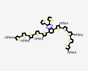 CCCCCCc1csc(-c2ccc(-c3sc(-c4ccc(-c5sc(-c6ccc(-c7cc(CCCCCC)c(-c8ccc(-c9cc(CCCCCC)c(-c%10ccc(-c%11cc(CCCCCC)cs%11)s%10)s9)s8)s7)c7nc(-c8cccs8)c(-c8cccs8)nc67)cc5CCCCCC)s4)cc3CCCCCC)s2)c1